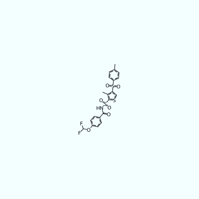 Cc1ccc(S(=O)(=O)c2csc(S(=O)(=O)NC(=O)c3ccc(OC(F)F)cc3)c2C)cc1